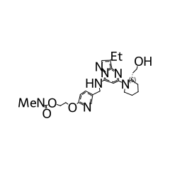 CCc1cnn2c(NCc3ccc(OCCOC(=O)NC)nc3)cc(N3CCCC[C@H]3CCO)nc12